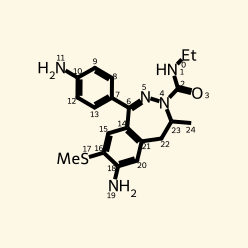 CCNC(=O)N1N=C(c2ccc(N)cc2)c2cc(SC)c(N)cc2CC1C